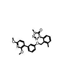 COc1ccc(-c2cccc(OCc3c(C)cccc3-n3nnn(C)c3=O)c2)c(OC)n1